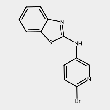 Brc1ccc(Nc2nc3ccccc3s2)cn1